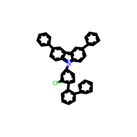 Clc1cc(-n2c3ccc(-c4ccccc4)cc3c3cc(-c4ccccc4)ccc32)ccc1-c1ccccc1-c1ccccc1